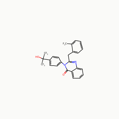 O=c1c2ccccc2nc(Cc2ccccc2C(F)(F)F)n1-c1ccc(C(O)(C(F)(F)F)C(F)(F)F)cc1